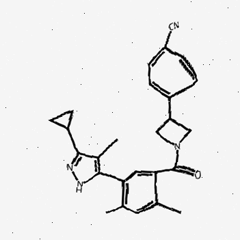 Cc1cc(C)c(-c2[nH]nc(C3CC3)c2C)cc1C(=O)N1CC(c2ccc(C#N)cc2)C1